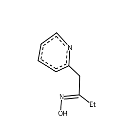 CCC(Cc1ccccn1)=NO